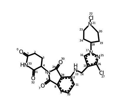 O=C1CCC(N2C(=O)c3cccc(NCc4cn(C5CCN(Cl)CC5)nc4Cl)c3C2=O)C(=O)N1